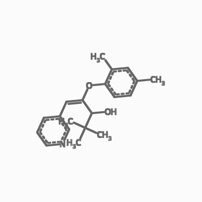 Cc1ccc(OC(=Cc2cccnc2)C(O)C(C)(C)C)c(C)c1